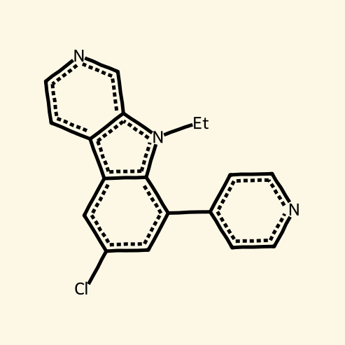 CCn1c2cnccc2c2cc(Cl)cc(-c3ccncc3)c21